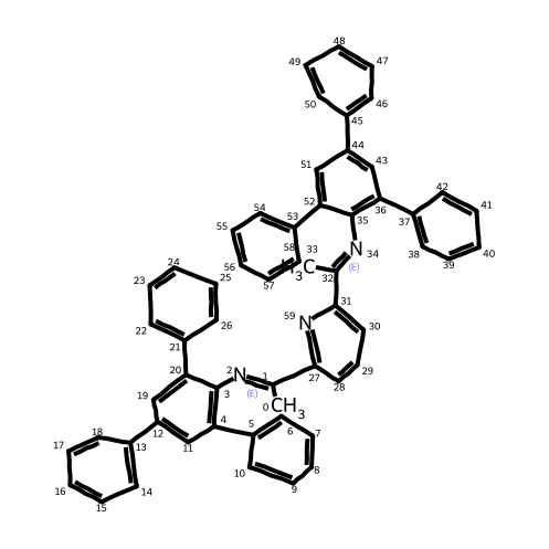 C/C(=N\c1c(-c2ccccc2)cc(-c2ccccc2)cc1-c1ccccc1)c1cccc(/C(C)=N/c2c(-c3ccccc3)cc(-c3ccccc3)cc2-c2ccccc2)n1